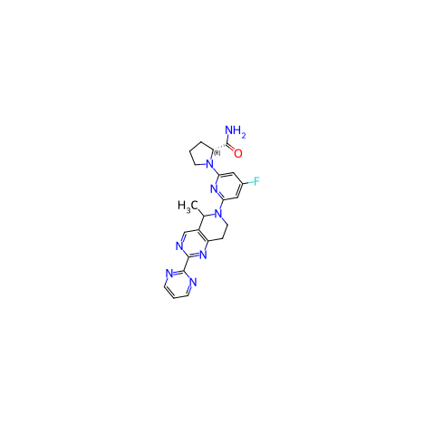 CC1c2cnc(-c3ncccn3)nc2CCN1c1cc(F)cc(N2CCC[C@@H]2C(N)=O)n1